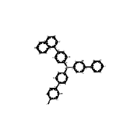 Cc1ccc(-c2ccc(N(c3ccc(-c4ccccc4)cc3)c3ccc(-c4cccc5ccccc45)cc3)cc2)cc1